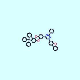 c1ccc(-c2nc(-c3ccc4c(c3)Oc3ccc5c(c3O4)-c3ccccc3C5(c3ccccc3)c3ccccc3)cc(-c3ccc4c(c3)oc3ccccc34)n2)cc1